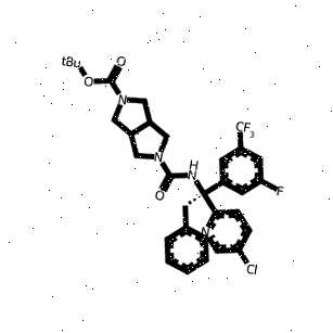 CC(C)(C)OC(=O)N1CC2CN(C(=O)N[C@@](Cc3ccccc3)(c3cc(F)cc(C(F)(F)F)c3)c3ccc(Cl)cn3)CC2C1